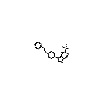 FC(F)(F)c1ncc2ncn(-c3ccc(OCc4ccccc4)cc3)c2n1